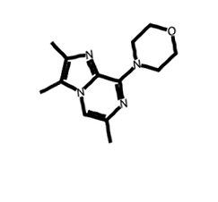 Cc1cn2c(C)c(C)nc2c(N2CCOCC2)n1